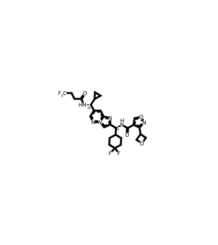 O=C(CCC(F)(F)F)N[C@@H](c1cnn2cc([C@@H](NC(=O)c3conc3C3COC3)C3CCC(F)(F)CC3)nc2c1)C1CC1